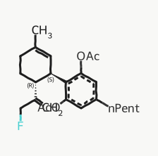 C=C(CF)[C@@H]1CCC(C)=C[C@H]1c1c(OC(C)=O)cc(CCCCC)cc1OC(C)=O